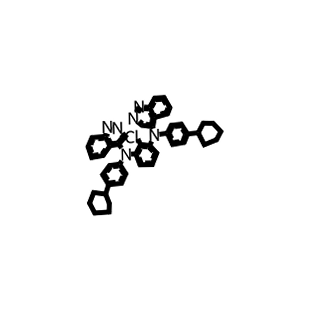 Clc1c(N(c2ccc(C3CCCCC3)cc2)c2cnnc3ccccc23)cccc1N(c1ccc(C2CCCCC2)cc1)c1cnnc2ccccc12